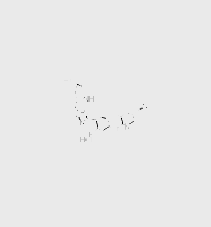 Cl.N#Cc1cnc(Oc2ccc(-c3nnn(CC(N)CC(=O)O)n3)c(F)c2)c(F)c1